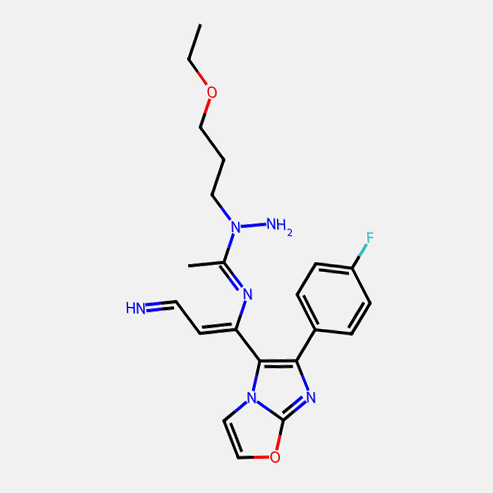 CCOCCCN(N)/C(C)=N/C(=C\C=N)c1c(-c2ccc(F)cc2)nc2occn12